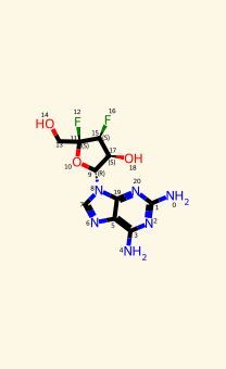 Nc1nc(N)c2ncn([C@@H]3O[C@](F)(CO)[C@@H](F)[C@H]3O)c2n1